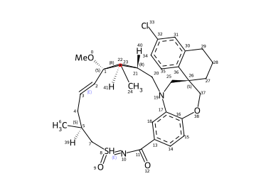 CO[C@@]12/C=C/C[C@H](C)C/[SH](=O)=N\C(=O)c3ccc4c(c3)N(C[C@H](C1)[C@H]2C)C[C@@]1(CCCc2cc(Cl)ccc21)CO4